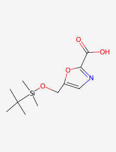 CC(C)(C)[Si](C)(C)OCc1cnc(C(=O)O)o1